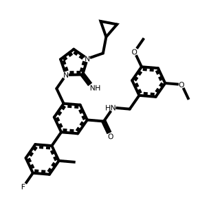 COc1cc(CNC(=O)c2cc(Cn3ccn(CC4CC4)c3=N)cc(-c3ccc(F)cc3C)c2)cc(OC)c1